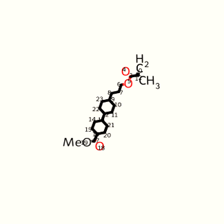 C=C(C)C(=O)OCCCC1CCC(C2CCC(C(=O)OC)CC2)CC1